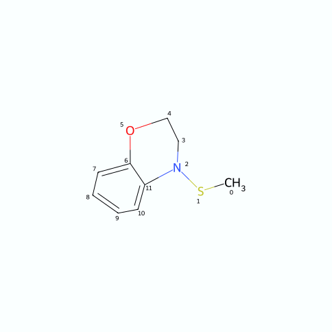 CSN1CCOc2ccccc21